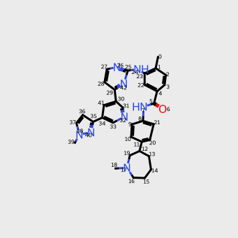 Cc1ccc(C(=O)Nc2ccc(C3CCCCN(C)C3)cc2)cc1Nc1nccc(-c2cncc(-c3ccn(C)n3)c2)n1